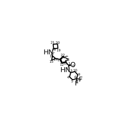 O=C(NC1CCC(F)(F)CC1)c1cc(C2CC2NC2CCC2)cs1